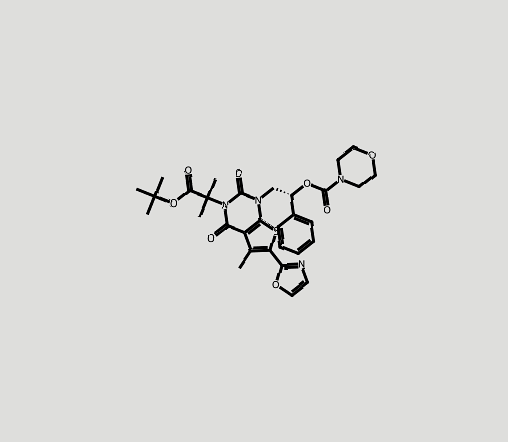 Cc1c(-c2ncco2)sc2c1c(=O)n(C(C)(C)C(=O)OC(C)(C)C)c(=O)n2C[C@H](OC(=O)N1CCOCC1)c1ccccc1